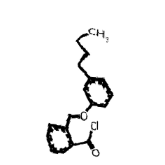 CCCCc1cccc(OCc2ccccc2C(=O)Cl)c1